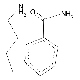 CCCCN.NC(=O)c1cccnc1